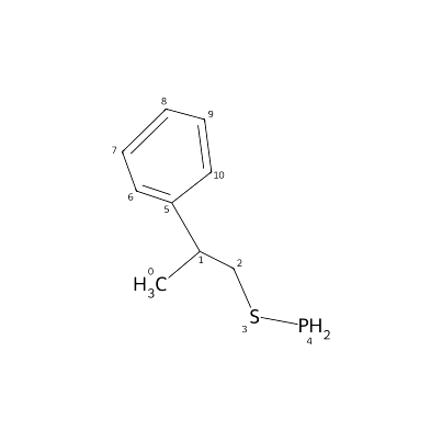 CC(CSP)c1ccccc1